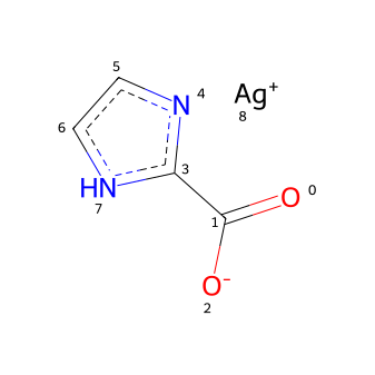 O=C([O-])c1ncc[nH]1.[Ag+]